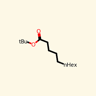 CCCCCCCCCCC(=O)OC(C)(C)C